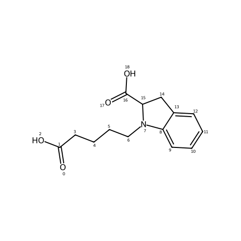 O=C(O)CCCCN1c2ccccc2CC1C(=O)O